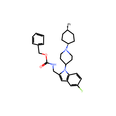 CC(C)[C@H]1CC[C@@H](N2CCC(n3c(CNC(=O)OCc4ccccc4)cc4cc(F)ccc43)CC2)CC1